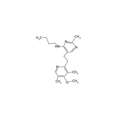 CCCCNc1nc(C)ncc1CCc1ncc(C)c(OC)c1C